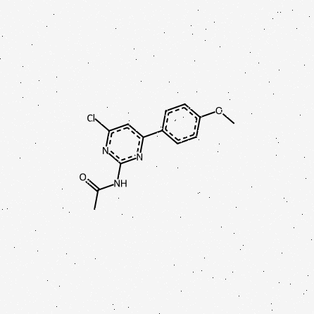 COc1ccc(-c2cc(Cl)nc(NC(C)=O)n2)cc1